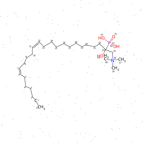 CCCCCC/C=C\CCC/C=C\CCCCCCCCCCC(O)(C[N+](C)(C)C)P(=O)(O)O